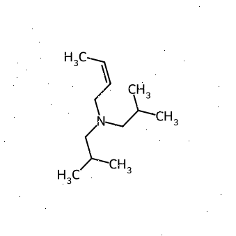 C/C=C\CN(CC(C)C)CC(C)C